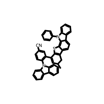 CC1C=C(c2cc(C#N)ccc2-n2c3ccccc3c3ccccc32)c2sc3c(ccc4c5ccccc5n(-c5ccccc5)c43)c2C1